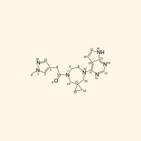 Cn1cc(CC(=O)N2CCN(c3ncnc4[nH]ccc34)CC3(CC3)C2)cn1